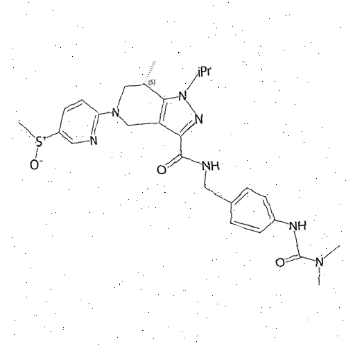 CC(C)n1nc(C(=O)NCc2ccc(NC(=O)N(C)C)cc2)c2c1[C@@H](C)CN(c1ccc([S+](C)[O-])cn1)C2